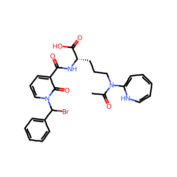 CC(=O)N(CCC[C@H](NC(=O)c1cccn(C(Br)c2ccccc2)c1=O)C(=O)O)C1=CC=CC=CN1